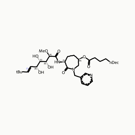 CCCCCCCCCCCCCC(=O)O[C@@H]1CC[C@H](NC(=O)[C@H](OC)[C@H](O)[C@@H](O)[C@H](O)/C=C/C(C)(C)C)C(=O)N(Cc2cccnc2)C1